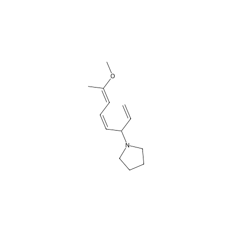 C=CC(/C=C\C=C(/C)OC)N1CCCC1